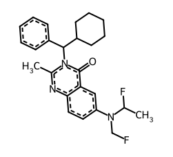 Cc1nc2ccc(N(CF)C(C)F)cc2c(=O)n1C(c1ccccc1)C1CCCCC1